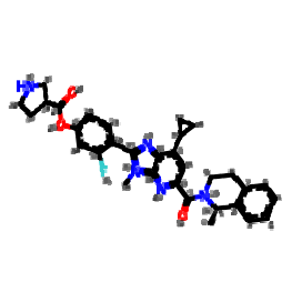 C[C@@H]1c2ccccc2CCN1C(=O)c1cc(C2CC2)c2nc(-c3ccc(OC(=O)C4CCNC4)cc3F)n(C)c2n1